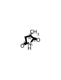 C[C@@H]1CC(=O)NC1=O